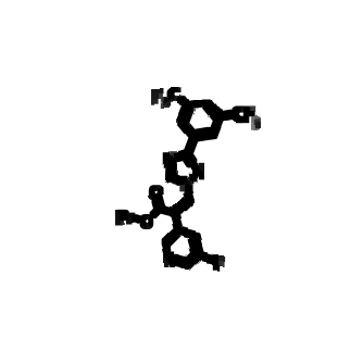 CC(C)OC(=O)/C(=C\n1cnc(-c2cc(C(F)(F)F)cc(C(F)(F)F)c2)n1)c1cncc(F)c1